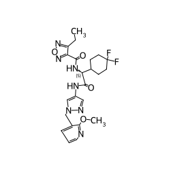 CCc1nonc1C(=O)N[C@H](C(=O)Nc1cnn(Cc2cccnc2OC)c1)C1CCC(F)(F)CC1